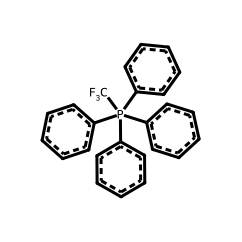 FC(F)(F)P(c1ccccc1)(c1ccccc1)(c1ccccc1)c1ccccc1